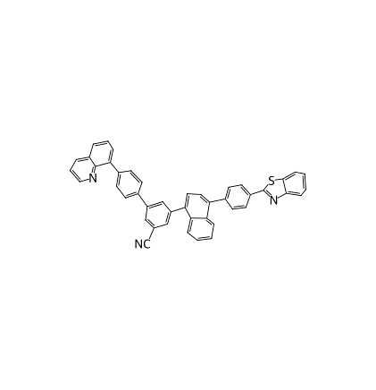 N#Cc1cc(-c2ccc(-c3cccc4cccnc34)cc2)cc(-c2ccc(-c3ccc(-c4nc5ccccc5s4)cc3)c3ccccc23)c1